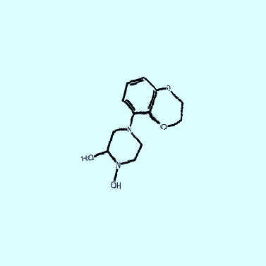 OC1CN(c2cccc3c2OCCO3)CCN1O